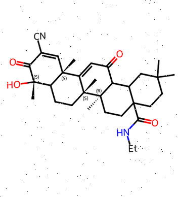 CCNC(=O)C12CCC(C)(C)CC1C1C(=O)C=C3[C@@]4(C)C=C(C#N)C(=O)[C@@](C)(O)C4CC[C@@]3(C)[C@]1(C)CC2